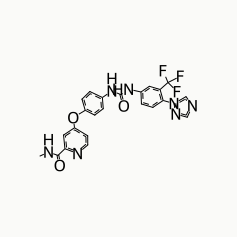 CNC(=O)c1cc(Oc2ccc(NC(=O)Nc3ccc(-n4cncn4)c(C(F)(F)F)c3)cc2)ccn1